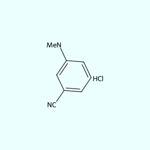 CNc1cccc(C#N)c1.Cl